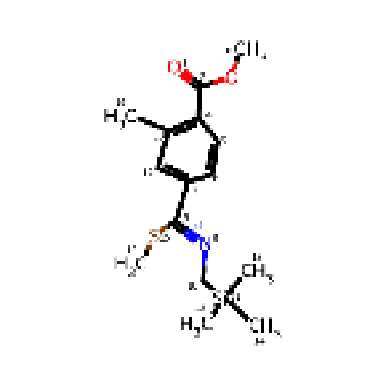 COC(=O)c1ccc(/C(=N/C[Si](C)(C)C)SC)cc1C